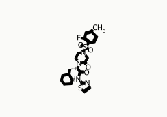 Cc1ccc(S(=O)(=O)N2CCN([C@@H](CC3CCCCC3)C(=O)Nc3nccs3)C(=O)C2)c(F)c1